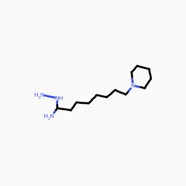 NNC(N)CCCCCCCN1CCCCC1